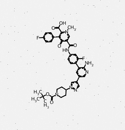 Cn1cc(C(=O)Nc2ccc(-c3cc(-c4cnn(C5CCN(C(=O)OC(C)(C)C)CC5)c4)cnc3N)c(F)c2)c(=O)c(-c2ccc(F)cc2)c1C(=O)O